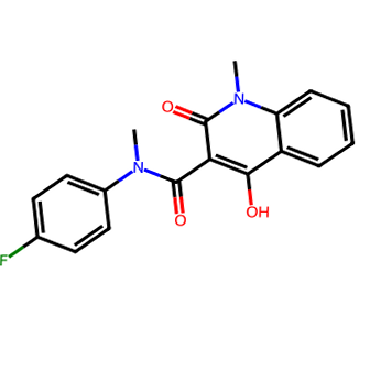 CN(C(=O)c1c(O)c2ccccc2n(C)c1=O)c1ccc(F)cc1